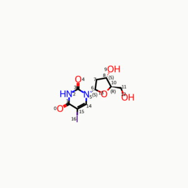 O=c1[nH]c(=O)n([C@@H]2C[C@H](O)[C@@H](CO)O2)cc1I